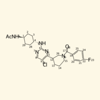 CC(=O)N[C@H]1CC[C@H](Nc2ncc(Cl)c(C3CCCN(C(=O)c4ccc(F)cc4)C3)n2)CC1